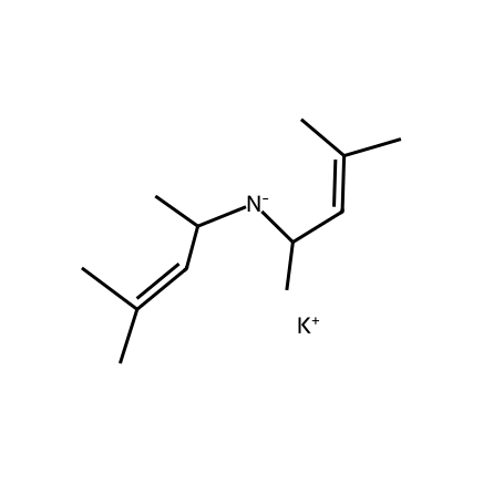 CC(C)=CC(C)[N-]C(C)C=C(C)C.[K+]